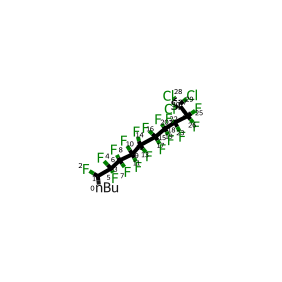 CCCCC(F)C(F)(F)C(F)(F)C(F)(F)C(F)(F)C(F)(F)C(F)(F)C(F)(F)C(F)(F)[Si](Cl)(Cl)Cl